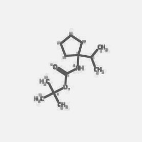 CC(C)C1(NC(=O)OC(C)(C)C)CCCC1